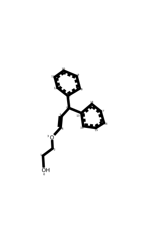 OCCOC=CC(c1ccccc1)c1ccccc1